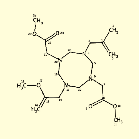 C=C(C)CN1CN(CC(=O)OC)CN(CC(=C)OC)CN(CC(=O)OC)C1